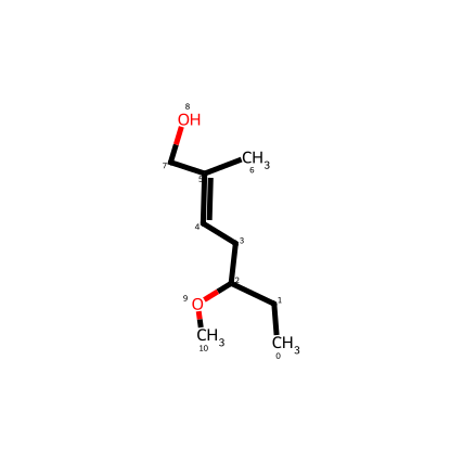 CCC(C/C=C(\C)CO)OC